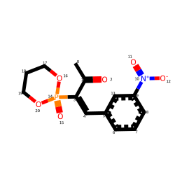 CC(=O)/C(=C\c1cccc([N+](=O)[O-])c1)P1(=O)OCCCO1